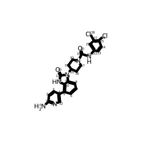 Nc1ccc(-c2cccc3c2[nH]c(=O)n3C2CCN(C(=O)Nc3ccc(Cl)c(Cl)c3)CC2)cn1